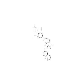 CC(C)NC(=O)c1ccc(-c2ccc3nnn(Cc4ccc5ncccc5c4)c3n2)cc1F